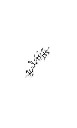 OC(COCC(F)(F)C(F)(F)F)COC(F)(F)C(F)OC(F)(F)C(F)(F)C(F)(F)F